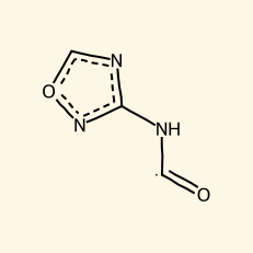 O=[C]Nc1ncon1